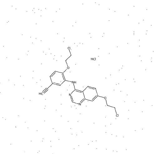 C#Cc1ccc(OCCCl)c(Nc2ncnc3cc(OCCCl)ccc23)c1.Cl